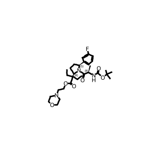 CCC(CC)(C(=O)OCCN1CCOCC1)[C@H]1CC[C@@H](c2cccc(F)c2)N1C(=O)[C@@H](C)NC(=O)OC(C)(C)C